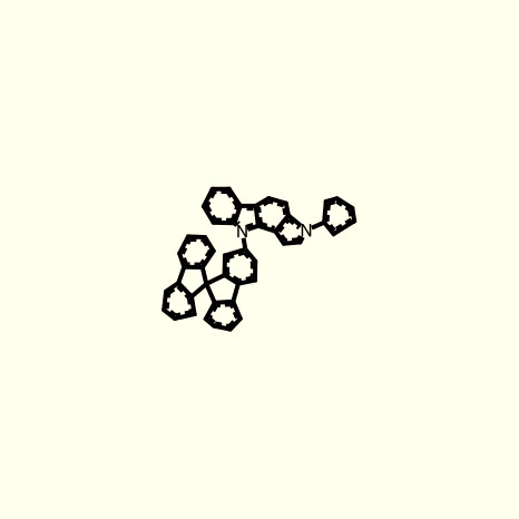 c1ccc(-n2ccc3c2ccc2c4ccccc4n(-c4ccc5c(c4)C4(c6ccccc6-c6ccccc64)c4ccccc4-5)c23)cc1